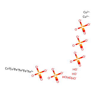 O=P([O-])([O-])[O-].O=P([O-])([O-])[O-].O=P([O-])([O-])[O-].O=P([O-])([O-])[O-].O=P([O-])([O-])[O-].[Cu+2].[Cu+2].[Cu+2].[Cu+2].[Fe+3].[Fe+3].[Fe+3].[Fe+3].[OH-].[OH-].[OH-].[OH-].[OH-]